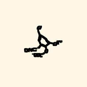 O=Cc1cc(Cl)cc(Cl)c1OC(=O)[O-].[K+]